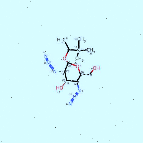 CC(O[C@@H]1O[C@H](CO)[C@@H](N=[N+]=[N-])[C@H](O)[C@@H]1N=[N+]=[N-])[Si](C)(C)C